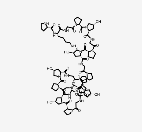 NCCCC[C@H](NC(=O)[C@@H]1CCCN1)C(=O)NCC(=O)N1CCC[C@H]1C(=O)N1C[C@H](O)C[C@H]1C(=O)NCC(=O)N1CCC[C@H]1C(=O)N1C[C@H](O)C[C@H]1C(=O)NCC(=O)N1CCC[C@H]1C(=O)N1C[C@H](O)C[C@H]1C(=O)NCC(=O)N1CCC[C@H]1C(=O)N1C[C@H](O)C[C@H]1C(=O)NCC(=O)N1CCC[C@H]1C(=O)N1C[C@H](O)C[C@H]1C(=O)NCC(=O)N1CCC[C@H]1C(=O)N1C[C@H](O)C[C@H]1C(=O)NCC(=O)O